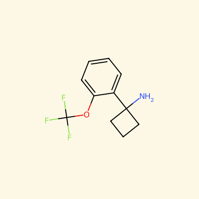 NC1(c2ccccc2OC(F)(F)F)CCC1